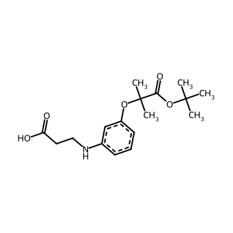 CC(C)(C)OC(=O)C(C)(C)Oc1cccc(NCCC(=O)O)c1